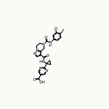 O=C(O)c1cnc(C2(NC(=O)c3cnn4c3CN(C(=O)Nc3ccc(F)c(Cl)c3)CC4)CC2)nc1